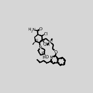 CCCCc1cc2ccccc2c(OCC[N+](C)(C)C[C@@]2(O)C(Cl)C(C(N)=O)C[C@H](C)C2N2CC[C@@H](O)C2)n1